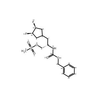 CS(=O)(=O)OC[C@H](CC1C[C@@H](F)[C@@H](F)C1)NC(=O)OCc1ccccc1